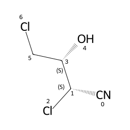 N#C[C@H](Cl)[C@@H](O)CCl